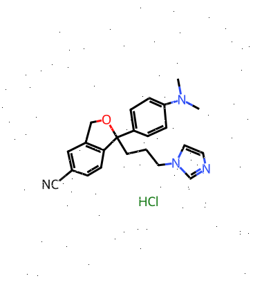 CN(C)c1ccc(C2(CCCn3ccnc3)OCc3cc(C#N)ccc32)cc1.Cl